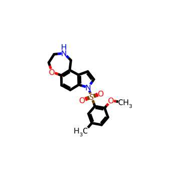 COc1ccc(C)cc1S(=O)(=O)n1ccc2c3c(ccc21)OCCNC3